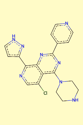 Clc1cnc(-c2cc[nH]n2)c2nc(-c3ccncc3)nc(N3CCNCC3)c12